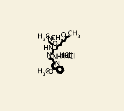 CCC(=O)CCCCC[C@H](NC(=O)CN(C)C)c1ncc(-c2cc(OC)c3ccccc3n2)[nH]1.Cl.Cl.Cl